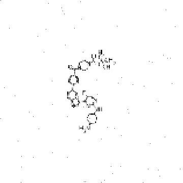 CC(C)(C)OC(=O)N1CCN(C(=O)c2ccc(-c3ccc4ncc(-c5nc(NC6CCC(N)CC6)ncc5F)n4c3)cc2)CC1